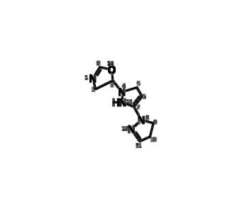 C1=NCC(N2CC=C(N3CCC=N3)N2)O1